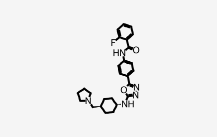 O=C(Nc1ccc(-c2nnc(N[C@H]3CC[C@H](CN4CCCC4)CC3)o2)cc1)c1ccccc1F